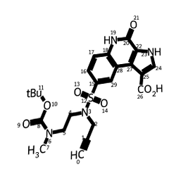 C#CCN(CCN(C)C(=O)OC(C)(C)C)S(=O)(=O)c1ccc2[nH]c(=O)c3[nH]cc(C(=O)O)c3c2c1